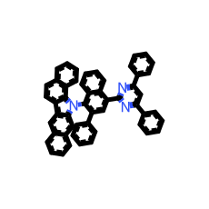 c1ccc(-c2cc(-c3ccccc3)nc(-c3cc(-c4ccccc4)c(-n4c5cc6ccccc6cc5c5ccc6ccccc6c54)c4ccccc34)n2)cc1